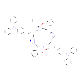 COC(=O)c1ccccc1-c1c2nc(c(/C=C/c3ccc(N(c4ccccc4)c4ccccc4)cc3)c3ccc([nH]3)c(-c3ccccc3C(=O)OC)c3nc(c(/C=C/c4ccc(N(c5ccccc5)c5ccccc5)cc4)c4ccc1[nH]4)C=C3)C=C2